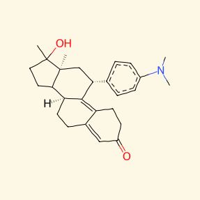 CN(C)c1ccc([C@H]2C[C@@]3(C)C(CCC3(C)O)[C@@H]3CCC4=CC(=O)CCC4=C32)cc1